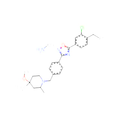 CC(C)(C)N.CC(C)Cc1ccc(-c2nc(-c3ccc(CN4CCC(OC(C)C)(C(=O)O)CC4C)cc3)no2)cc1Cl